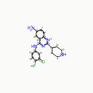 Nc1ccc2nc(C3CCNCC3)nc(Nc3ccc(F)c(Cl)c3)c2c1